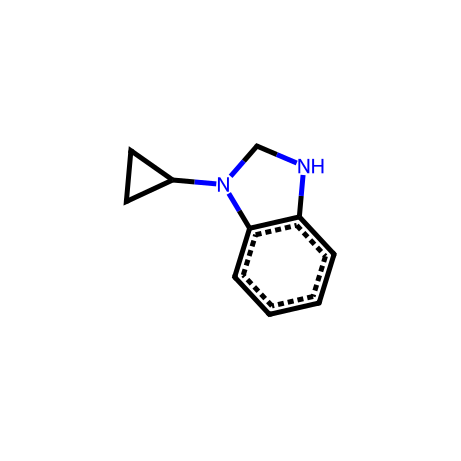 c1ccc2c(c1)NCN2C1CC1